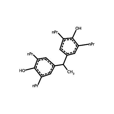 CCCc1cc(C(C)c2cc(CCC)c(O)c(CCC)c2)cc(CCC)c1O